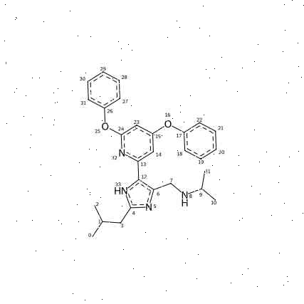 CC(C)Cc1nc(CNC(C)C)c(-c2cc(Oc3ccccc3)cc(Oc3ccccc3)n2)[nH]1